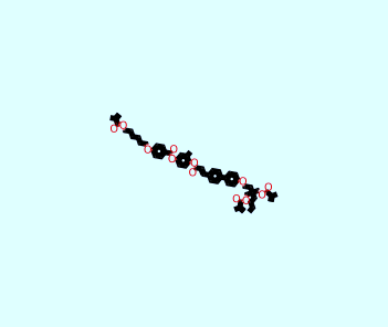 C=C(C)C(=O)OCCCCCCOc1ccc(C(=O)Oc2ccc(OC(=O)/C=C/c3ccc(-c4ccc(OCCC(CCCC)(COC(=O)C(=C)C)COC(=O)C(=C)C)cc4)cc3)c(C)c2)cc1